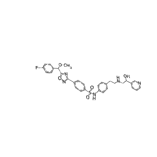 COC(c1ccc(F)cc1)c1nc(-c2ccc(S(=O)(=O)Nc3ccc(CCNCC(O)c4cccnc4)cc3)cc2)no1